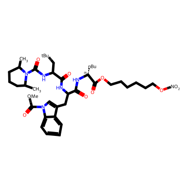 CCCC[C@@H](NC(=O)C(Cc1cn(C(=O)OC)c2ccccc12)NC(=O)C(CC(C)(C)C)NC(=O)N1C(C)CCCC1C)C(=O)OCCCCCCO[N+](=O)[O-]